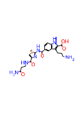 NCCCc1c(C(=O)O)[nH]c2ccc(C(=O)Nc3nc(C(=O)NCCC(N)=O)cs3)cc12